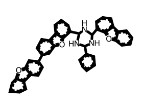 c1ccc(C2NC(c3cccc4c3oc3ccccc34)NC(c3cccc4c3oc3cc(-c5ccc6c(c5)oc5ccccc56)ccc34)N2)cc1